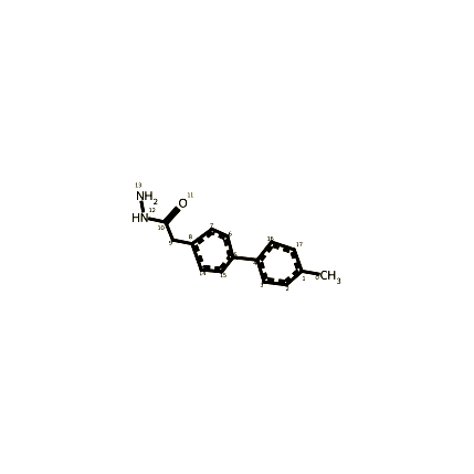 Cc1ccc(-c2ccc(CC(=O)NN)cc2)cc1